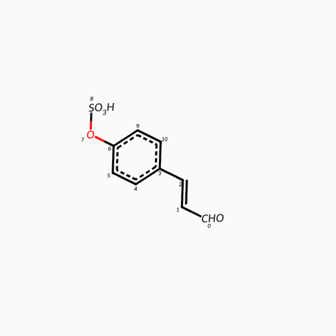 O=C/C=C/c1ccc(OS(=O)(=O)O)cc1